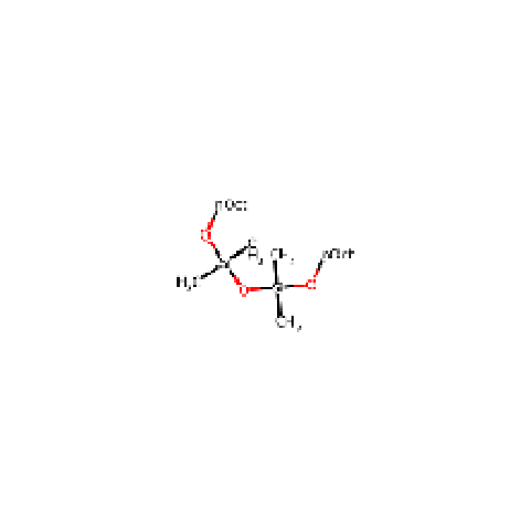 CCCCCCCCO[Si](C)(C)O[Si](C)(C)OCCCCCCCC